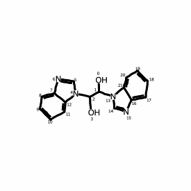 OC(C(O)n1cnc2ccccc21)n1cnc2ccccc21